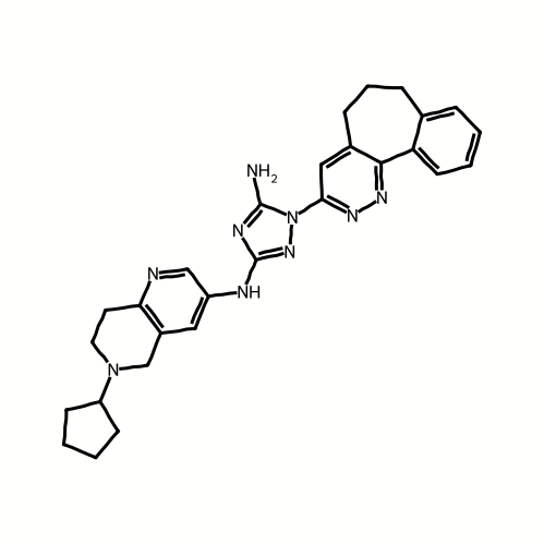 Nc1nc(Nc2cnc3c(c2)CN(C2CCCC2)CC3)nn1-c1cc2c(nn1)-c1ccccc1CCC2